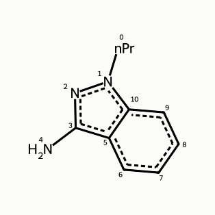 CCCn1nc(N)c2ccccc21